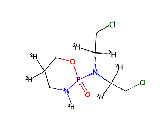 [2H]N1CC([2H])([2H])COP1(=O)N(C([2H])([2H])CCl)C([2H])([2H])CCl